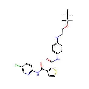 CC(C)(C)[Si](C)(C)OCCNc1ccc(NC(=O)c2sccc2C(=O)Nc2ccc(Cl)cn2)cc1